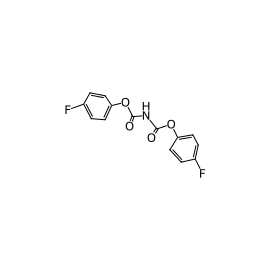 O=C(NC(=O)Oc1ccc(F)cc1)Oc1ccc(F)cc1